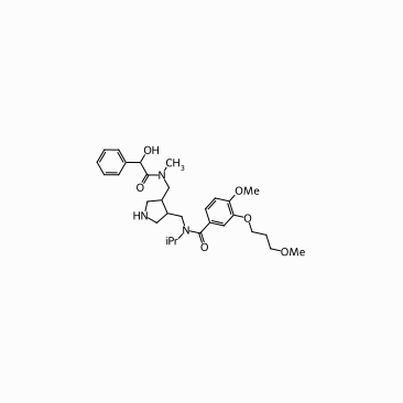 COCCCOc1cc(C(=O)N(CC2CNCC2CN(C)C(=O)C(O)c2ccccc2)C(C)C)ccc1OC